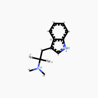 [2H]C([2H])(Cc1c[nH]c2ccccc12)N(C)C